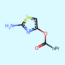 CCCC(=O)Oc1csc(N)n1